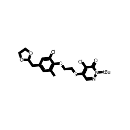 Cc1cc(CC2OCCO2)cc(Cl)c1OCCSc1cnn(C(C)(C)C)c(=O)c1Cl